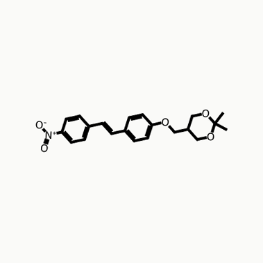 CC1(C)OCC(COc2ccc(C=Cc3ccc([N+](=O)[O-])cc3)cc2)CO1